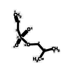 C=CCS(=O)(=O)OCC(C)C